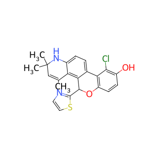 CC1=CC(C)(C)Nc2ccc3c(c21)C(c1nccs1)Oc1ccc(O)c(Cl)c1-3